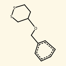 c1ccc(COC2CCSSC2)cc1